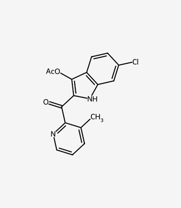 CC(=O)Oc1c(C(=O)c2ncccc2C)[nH]c2cc(Cl)ccc12